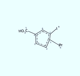 CC(C)c1ccc(C(=O)O)cc1I